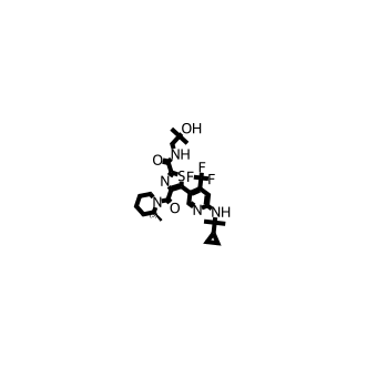 C[C@H]1CCCCN1C(=O)c1nc(C(=O)NCC(C)(C)O)sc1-c1cnc(NC(C)(C)C2CC2)cc1C(F)(F)F